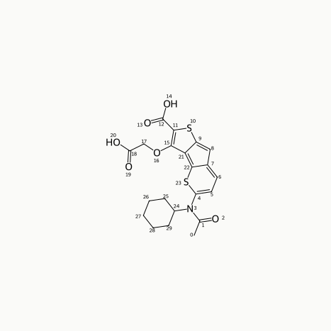 CC(=O)N(c1ccc2cc3sc(C(=O)O)c(OCC(=O)O)c3c-2s1)C1CCCCC1